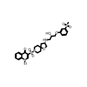 CCn1cc(S(=O)(=O)N2CCC3(CC2)C[C@H](NC[C@H](O)COc2cccc(S(C)(=O)=O)c2)CO3)c(=O)c2ccccc21